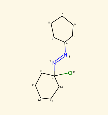 ClC1(N=NC2CCCCC2)CCCCC1